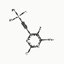 CNc1nc(Cl)nc(C#C[Si](C(C)C)(C(C)C)C(C)C)c1F